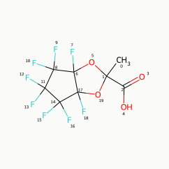 CC1(C(=O)O)OC2(F)C(F)(F)C(F)(F)C(F)(F)C2(F)O1